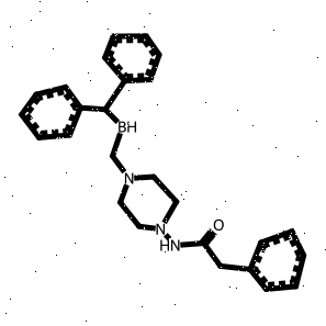 O=C(Cc1ccccc1)NN1CCN(CBC(c2ccccc2)c2ccccc2)CC1